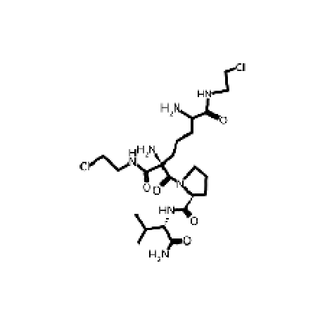 CC(C)[C@H](NC(=O)[C@@H]1CCCN1C(=O)[C@@](N)(CCCC(N)C(=O)NCCCl)C(=O)NCCCl)C(N)=O